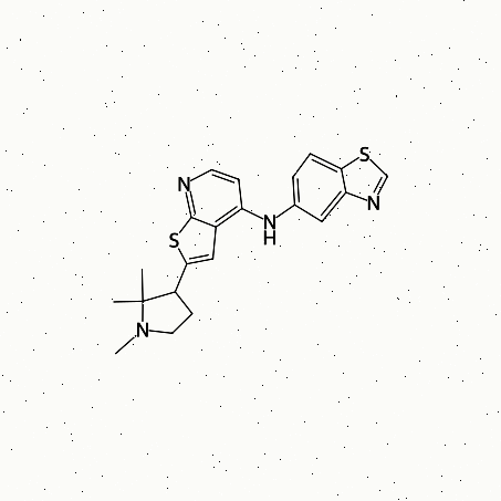 CN1CCC(c2cc3c(Nc4ccc5scnc5c4)ccnc3s2)C1(C)C